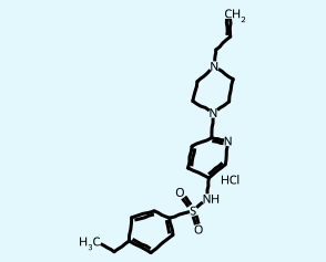 C=CCN1CCN(c2ccc(NS(=O)(=O)c3ccc(CC)cc3)cn2)CC1.Cl